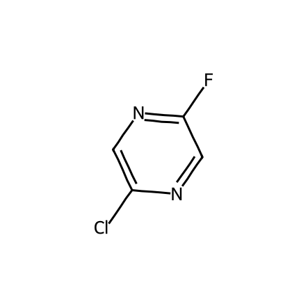 Fc1cnc(Cl)cn1